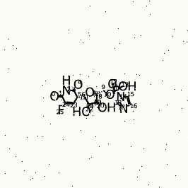 O=C1NC(=O)C([C@@H]2O[C@H](COP(=O)(O)n3ccnc3)[C@@H](O)[C@H]2O)C=C1F